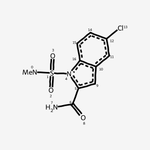 CNS(=O)(=O)n1c(C(N)=O)cc2cc(Cl)ccc21